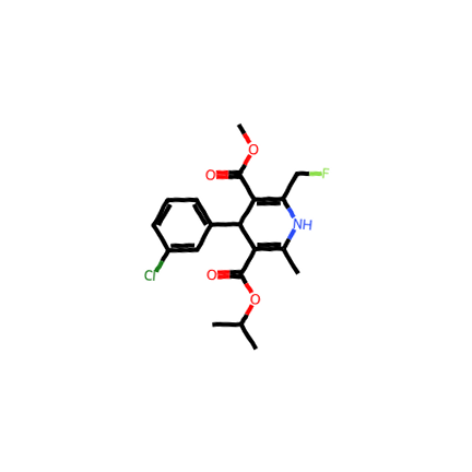 COC(=O)C1=C(CF)NC(C)=C(C(=O)OC(C)C)C1c1cccc(Cl)c1